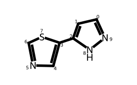 c1cc(-c2cncs2)[nH]n1